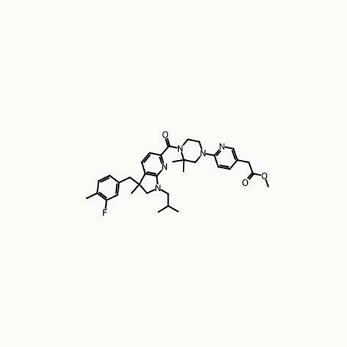 COC(=O)Cc1ccc(N2CCN(C(=O)c3ccc4c(n3)N(CC(C)C)CC4(C)Cc3ccc(C)c(F)c3)C(C)(C)C2)nc1